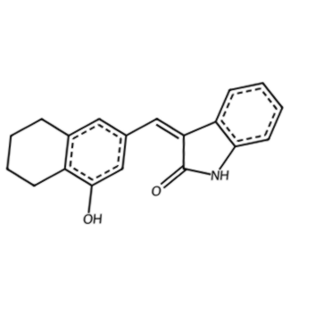 O=C1Nc2ccccc2C1=Cc1cc(O)c2c(c1)CCCC2